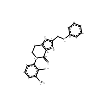 Cc1cccc(N2CCc3nc(COc4ccccc4)oc3C2=O)c1F